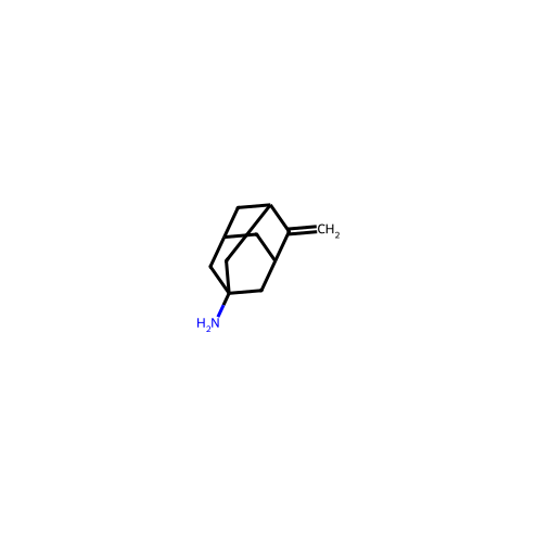 C=C1C2CC3CC1CC(N)(C3)C2